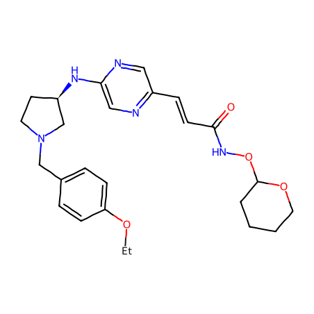 CCOc1ccc(CN2CC[C@@H](Nc3cnc(C=CC(=O)NOC4CCCCO4)cn3)C2)cc1